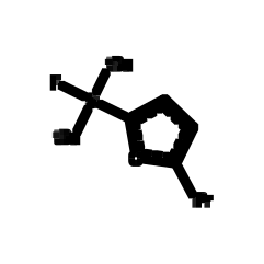 CC(C)c1ccc([Si](F)(C(C)(C)C)C(C)(C)C)o1